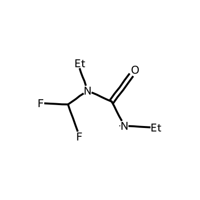 CC[N]C(=O)N(CC)C(F)F